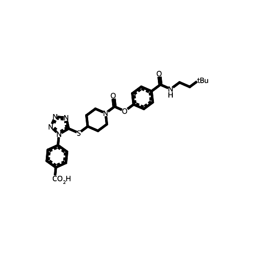 CC(C)(C)CCNC(=O)c1ccc(OC(=O)N2CCC(Sc3nnnn3-c3ccc(C(=O)O)cc3)CC2)cc1